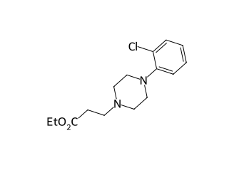 CCOC(=O)CCN1CCN(c2ccccc2Cl)CC1